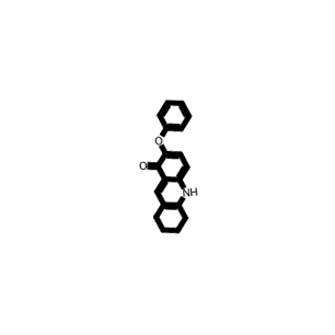 O=c1c(Oc2ccccc2)ccc2[nH]c3c(cc1-2)CCCC3